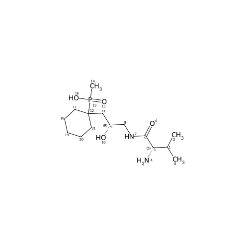 CC(C)[C@H](N)C(=O)NC[C@H](O)CC1(P(C)(=O)O)CCCCC1